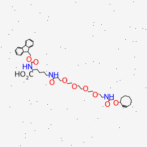 O=C(CCOCCOCCOCCOCCNC(=O)COC1C#CCCCCC1)NCCCCC(NC(=O)OCC1c2ccccc2-c2ccccc21)C(=O)O